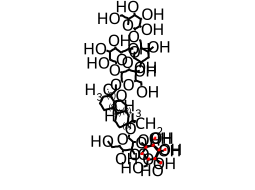 C=C1C[C@@]23CCC4[C@](C)(C(=O)OC5OC(CO)C(O)C(OC6OC(COC7OC(CO)C(O)C(O)C7O)C(O)CC6O)C5OC5OC(CO)C(O)C(O)C5O)CCC[C@@]4(C)[C@@H]2CC[C@]1(OC1OC(CO)C(O)C(OC2OC(CO)C(O)C(O)C2O)C1OC1OC(CO)C(O)C(O)C1O)C3